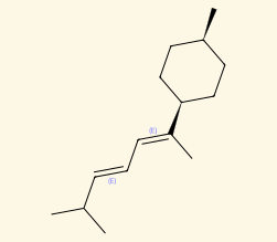 C/C(=C\C=C\C(C)C)[C@H]1CC[C@@H](C)CC1